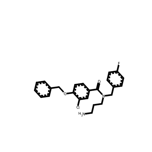 NCCCN(Cc1ccc(F)cc1)C(=O)c1ccc(OCc2ccccc2)c(Cl)c1